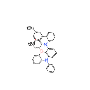 CC(C)(C)c1cc(-c2ccccc2N2c3ccccc3B3c4ccccc4N(c4ccccc4)c4cccc2c43)cc(C(C)(C)C)c1